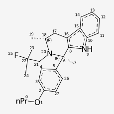 CCCOc1ccc([C@]2(C)c3[nH]c4ccccc4c3C[C@@H](C)N2CC(C)(C)F)cc1